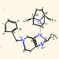 CC(=O)N1[C@@H]2CC[C@H]1C[C@@H](n1c(C)nc3c1CN(Cc1ccccc1)CC3)C2